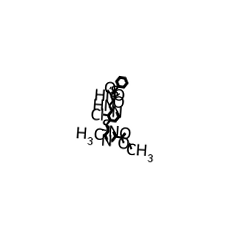 CCOC(=O)c1cnc(C)c(Sc2ccnc(NC(=O)NS(=O)(=O)c3ccccc3)c2Cl)n1